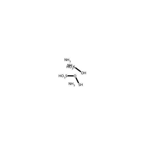 N.N.N.O=S(=O)(O)O.O=S(=O)(O)OS